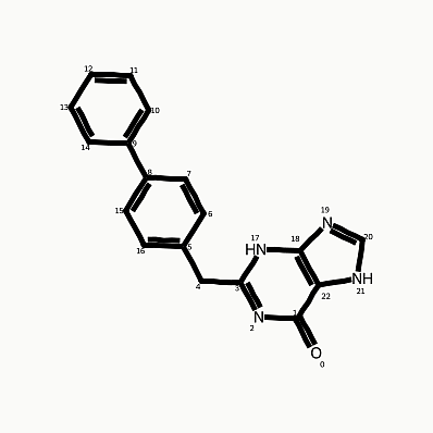 O=c1nc(Cc2ccc(-c3ccccc3)cc2)[nH]c2nc[nH]c12